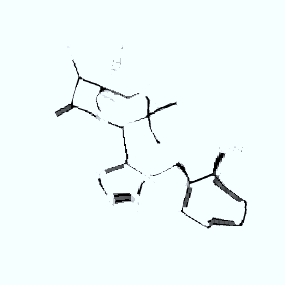 COc1ccccc1Cn1nnnc1C1N2C(=O)C(N)[C@H]2SC1(C)C